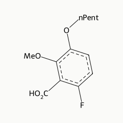 CCCCCOc1ccc(F)c(C(=O)O)c1OC